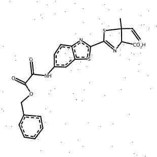 C=CC1(C)SC(c2nc3ccc(NC(=O)C(=O)OCc4ccccc4)cc3s2)=NC1C(=O)O